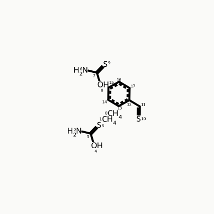 C.C.NC(O)=S.NC(O)=S.S=Cc1ccccc1